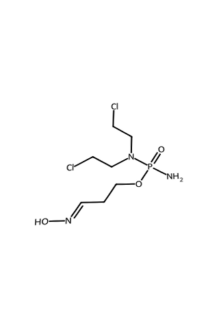 NP(=O)(OCCC=NO)N(CCCl)CCCl